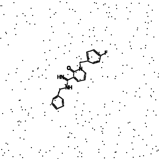 N=C(NCc1ccccc1)c1cccn(Cc2ccc(F)cc2)c1=O